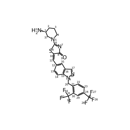 N[C@H]1CCCN(C2=NC(=O)C(=Cc3ccc4c(cnn4Cc4ccc(C(F)(F)F)cc4C(F)(F)F)c3)S2)C1